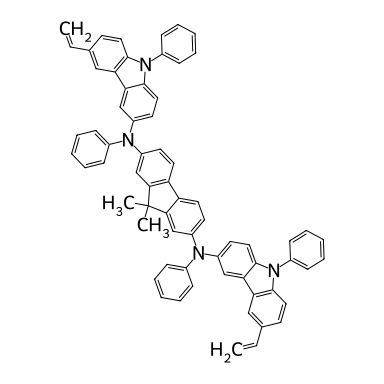 C=Cc1ccc2c(c1)c1cc(N(c3ccccc3)c3ccc4c(c3)C(C)(C)c3cc(N(c5ccccc5)c5ccc6c(c5)c5cc(C=C)ccc5n6-c5ccccc5)ccc3-4)ccc1n2-c1ccccc1